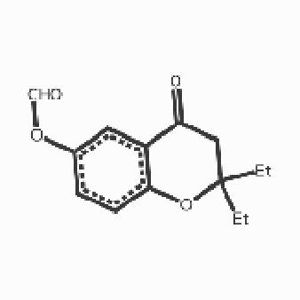 CCC1(CC)CC(=O)c2cc(OC=O)ccc2O1